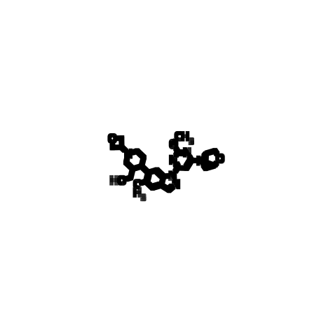 COc1nc(N2CC3CC2CO3)cc(-n2ncc3cc(C)c(C4CCN(C5COC5)CC4CO)cc32)n1